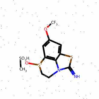 CS(=O)(=O)O.N=c1sc2cc(OC(F)(F)F)cc3c2n1CC[S+]3[O-]